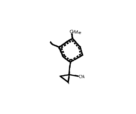 COc1ccc(C2(C#N)CC2)cc1C